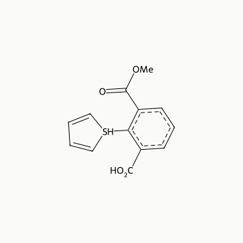 COC(=O)c1cccc(C(=O)O)c1[SH]1C=CC=C1